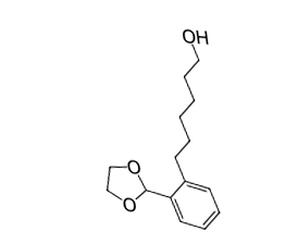 OCCCCCCc1ccccc1C1OCCO1